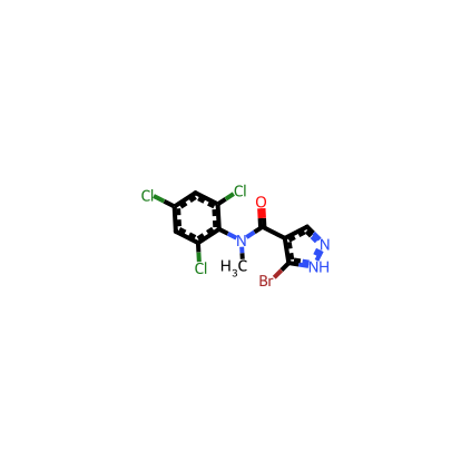 CN(C(=O)c1cn[nH]c1Br)c1c(Cl)cc(Cl)cc1Cl